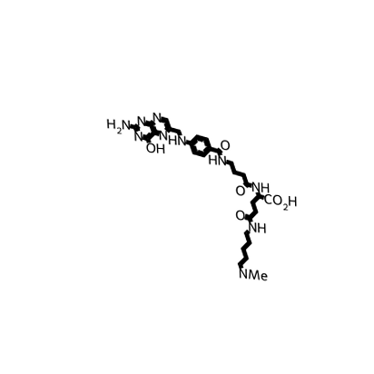 CNCCCCCNC(=O)CCC(NC(=O)CCCNC(=O)c1ccc(NCc2cnc3nc(N)nc(O)c3n2)cc1)C(=O)O